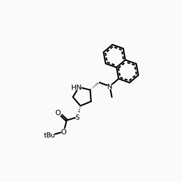 CN(C[C@@H]1C[C@H](SC(=O)OC(C)(C)C)CN1)c1cccc2ccccc12